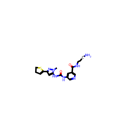 Cn1nc(C2=CCCS2)cc1NC(=O)Nc1cncc(C(=O)NCCCN)c1